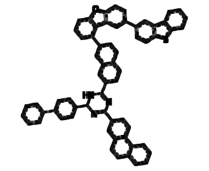 c1ccc(-c2ccc(C3N=C(c4ccc5c(ccc6ccccc65)c4)N=C(c4ccc5ccc(-c6cccc7oc8ccc(-c9ccc%10sc%11ccccc%11c%10c9)cc8c67)cc5c4)N3)cc2)cc1